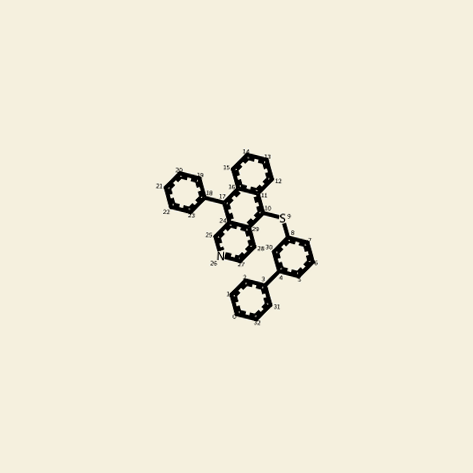 c1ccc(-c2cccc(Sc3c4ccccc4c(-c4ccccc4)c4cnccc34)c2)cc1